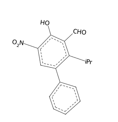 CC(C)c1c(-c2ccccc2)cc([N+](=O)[O-])c(O)c1C=O